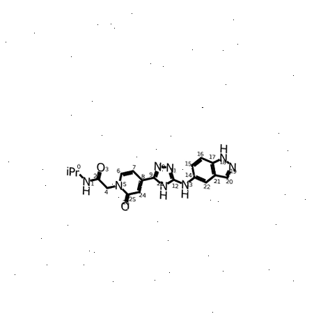 CC(C)NC(=O)Cn1ccc(-c2nnc(Nc3ccc4[nH]ncc4c3)[nH]2)cc1=O